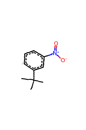 CC(C)(C)c1[c]ccc([N+](=O)[O-])c1